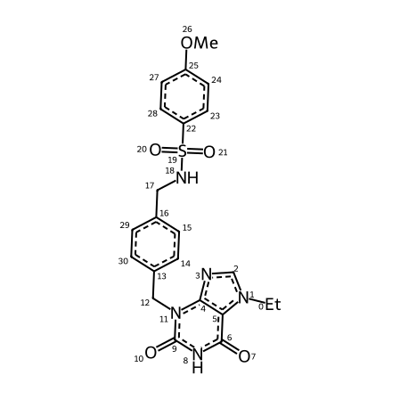 CCn1cnc2c1c(=O)[nH]c(=O)n2Cc1ccc(CNS(=O)(=O)c2ccc(OC)cc2)cc1